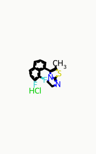 CC1=C(c2cccc3ccc(F)c(F)c23)N2CCN=C2S1.Cl